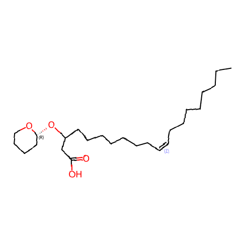 CCCCCCCC/C=C\CCCCCCCC(CC(=O)O)O[C@@H]1CCCCO1